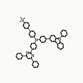 C[Si](C)(C)c1ccc(-c2ccc(N(c3ccc(-c4ccc5c(c4)c4ccccc4n5-c4ccccc4)cc3)c3ccc(-c4nc(-c5ccccc5)cc(-c5ccccc5)n4)cc3)cc2)cc1